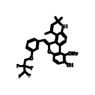 COc1c(O)ccc2c1-c1ccc3c(c1/C(=C/c1cccc(OCC(F)(F)C(F)F)c1)O2)C(C)=CC(C)(C)N3